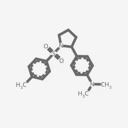 Cc1ccc(S(=O)(=O)N2CCCC2c2ccc(N(C)C)cc2)cc1